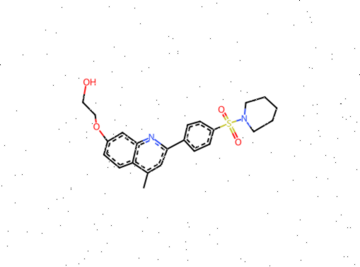 Cc1cc(-c2ccc(S(=O)(=O)N3CCCCC3)cc2)nc2cc(OCCO)ccc12